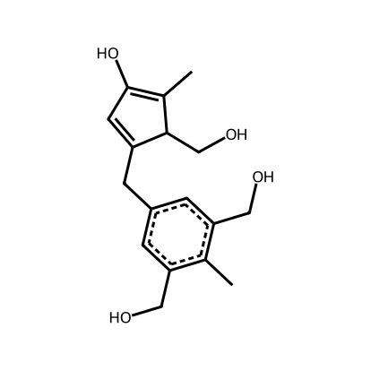 CC1=C(O)C=C(Cc2cc(CO)c(C)c(CO)c2)C1CO